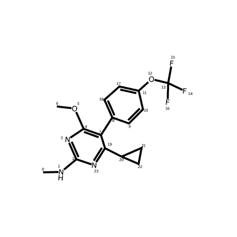 CNc1nc(OC)c(-c2ccc(OC(F)(F)F)cc2)c(C2CC2)n1